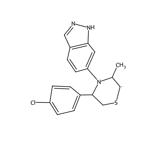 CC1[CH]SCC(c2ccc(Cl)cc2)N1c1ccc2cn[nH]c2c1